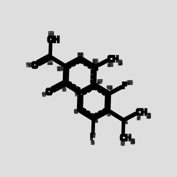 CC(C)c1c(F)cc2c(=O)c(C(=O)O)cn(C)c2c1F